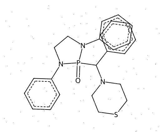 O=P1(C(c2ccccc2)N2CCSCC2)N(c2ccccc2)CCN1c1ccccc1